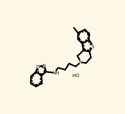 Cc1ccc2sc3c(c2c1)CN(CCCCNc1noc2ccccc12)CC3.Cl